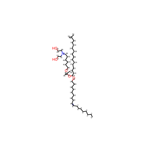 CCCCCCCC/C=C\CCCCCCCCOC(CCCCCCCCCCCCCC(C)C)O[Si](C)(C)OCCCCCCN(CCO)CCO